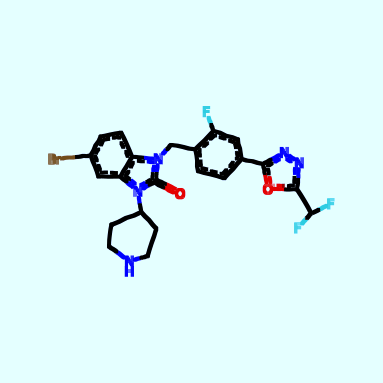 O=c1n(Cc2ccc(-c3nnc(C(F)F)o3)cc2F)c2ccc(Br)cc2n1C1CCNCC1